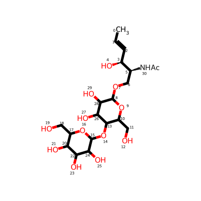 C/C=C/[C@H](O)[C@H](COC1OC(CO)C(OC2OC(CO)C(O)C(O)C2O)C(O)C1O)NC(C)=O